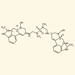 CCCN1C[C@@H](NCN(C)S(=O)(=O)N(C)CN[C@H]2C=C3c4cccc5c4[C@H](C[C@H]3N(CCC)C2)C(C)N5)C=C2c3cccc4c3[C@H](C[C@H]21)C(C)N4